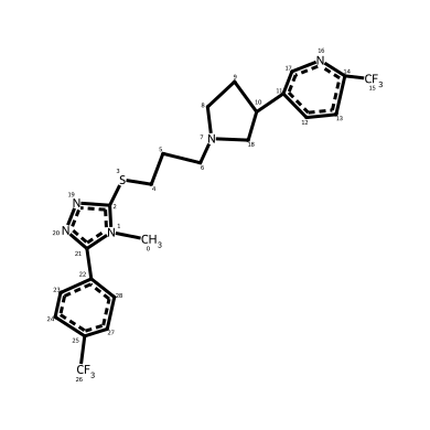 Cn1c(SCCCN2CCC(c3ccc(C(F)(F)F)nc3)C2)nnc1-c1ccc(C(F)(F)F)cc1